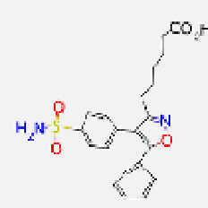 NS(=O)(=O)c1ccc(-c2c(CCCCCC(=O)O)noc2-c2ccccc2)cc1